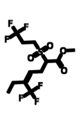 CCC(=CCC(C(=O)OC)S(=O)(=O)CCC(F)(F)F)C(F)(F)F